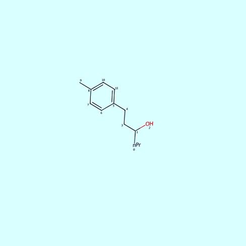 CCCC(O)CCc1ccc(C)cc1